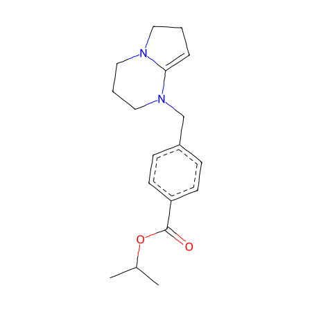 CC(C)OC(=O)c1ccc(CN2CCCN3CCC=C32)cc1